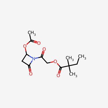 CCC(C)(C)C(=O)OCC(=O)N1C(=O)CC1OC(C)=O